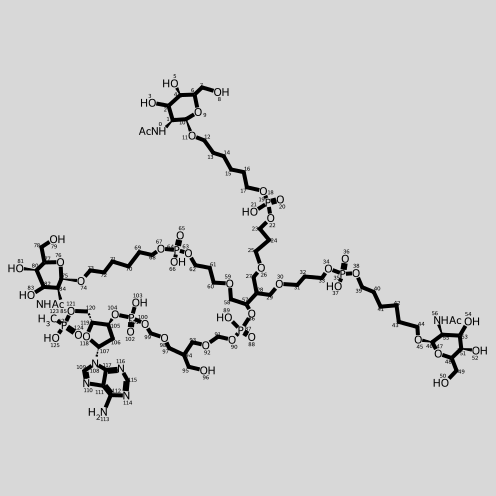 CC(=O)N[C@H]1C(O)[C@@H](O)C(CO)O[C@H]1OCCCCCCOP(=O)(O)OCCCOCC(COCCCOP(=O)(O)OCCCCCCO[C@@H]1OC(CO)[C@H](O)C(O)[C@@H]1NC(C)=O)C(COCCCOP(=O)(O)OCCCCCCO[C@@H]1OC(CO)[C@H](O)C(O)[C@@H]1NC(C)=O)OP(=O)(O)OCOCC(CO)COCOP(=O)(O)O[C@H]1C[C@H](n2cnc3c(N)ncnc32)O[C@@H]1COP(C)(=O)O